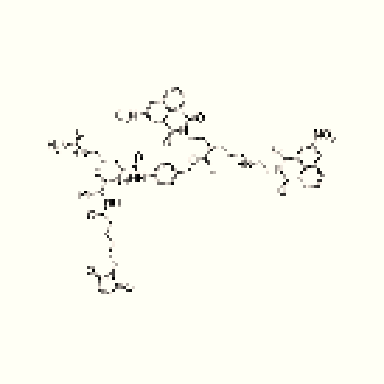 CC(C)C(NC(=O)CCCCCN1C(=O)C=CC1=O)C(=O)N[C@@H](CCCNC(N)=O)C(=O)Nc1ccc(COC(=O)N(CCCNCCN2C(=O)c3cccc4cc([N+](=O)[O-])cc(c34)C2=O)CCN2C(=O)c3cccc4cc([N+](=O)[O-])cc(c34)C2=O)cc1